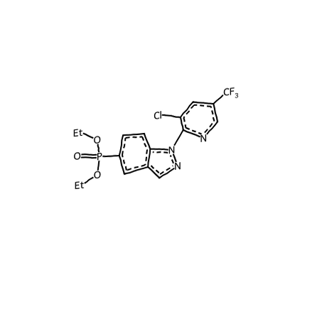 CCOP(=O)(OCC)c1ccc2c(cnn2-c2ncc(C(F)(F)F)cc2Cl)c1